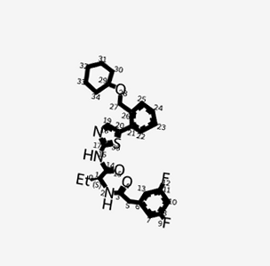 CC[C@H](NC(=O)Cc1cc(F)cc(F)c1)C(=O)Nc1ncc(-c2ccccc2COC2CCCCC2)s1